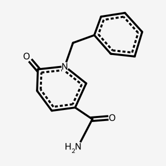 NC(=O)c1ccc(=O)n(Cc2ccccc2)c1